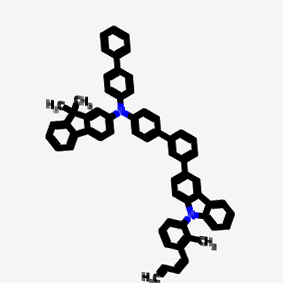 C=C/C=C\c1cccc(-n2c3ccccc3c3cc(-c4cccc(-c5ccc(N(c6ccc(-c7ccccc7)cc6)c6ccc7c(c6)C(C)(C)c6ccccc6-7)cc5)c4)ccc32)c1C